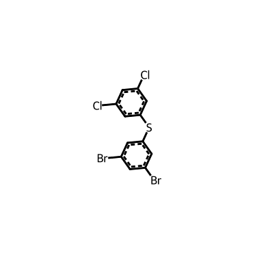 Clc1cc(Cl)cc(Sc2cc(Br)cc(Br)c2)c1